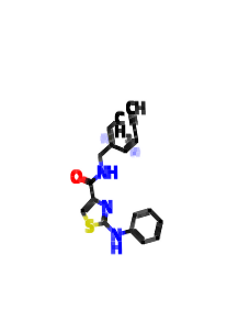 C#C/C=C\C(=C/C)CNC(=O)c1csc(Nc2ccccc2)n1